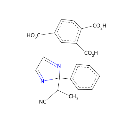 CC(C#N)C1(c2ccccc2)N=CC=N1.O=C(O)c1ccc(C(=O)O)c(C(=O)O)c1